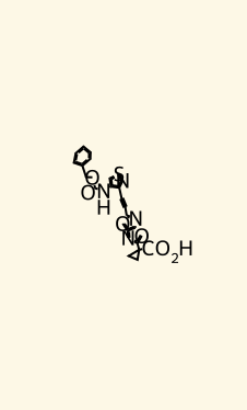 O=C(Nc1csnc1C#Cc1nc2oc(C3(C(=O)O)CC3)nc2o1)OCc1ccccc1